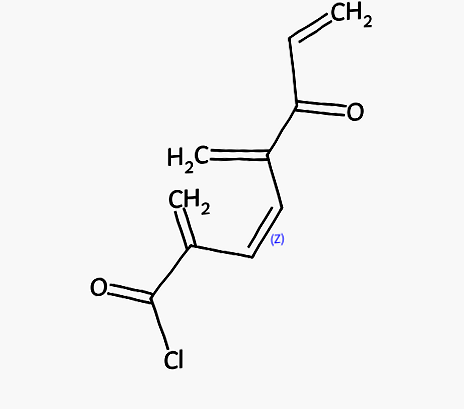 C=CC(=O)C(=C)/C=C\C(=C)C(=O)Cl